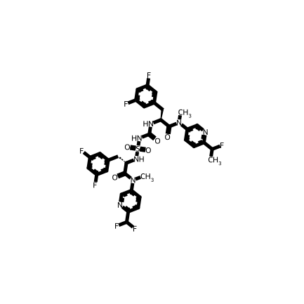 CC(F)c1ccc(N(C)C(=O)[C@H](Cc2cc(F)cc(F)c2)NC(=O)NS(=O)(=O)N[C@@H](Cc2cc(F)cc(F)c2)C(=O)N(C)c2ccc(C(F)F)nc2)cn1